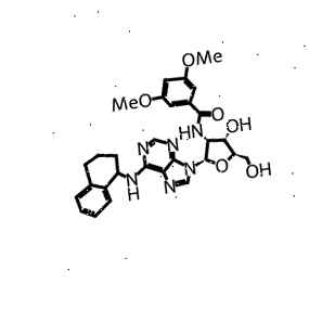 COc1cc(OC)cc(C(=O)N[C@@H]2[C@H](O)[C@@H](CO)O[C@H]2n2cnc3c(NC4CCCc5ccccc54)ncnc32)c1